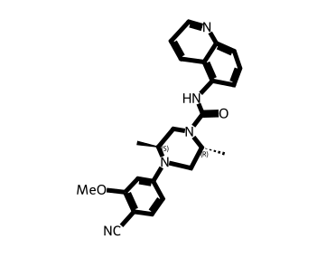 COc1cc(N2C[C@@H](C)N(C(=O)Nc3cccc4ncccc34)C[C@@H]2C)ccc1C#N